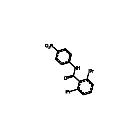 CC(C)c1cccc(C(C)C)c1C(=O)Nc1ccc([N+](=O)[O-])cc1